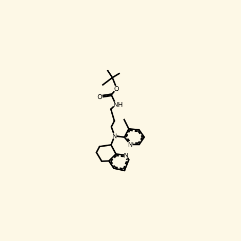 Cc1cccnc1N(CCCNC(=O)OC(C)(C)C)C1CCCc2cccnc21